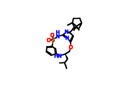 CC(C)C[C@@H]1COc2cc(C3CC4CCC3(C)C4(C)C)nc(n2)NS(=O)(=O)c2cccc(c2)N1